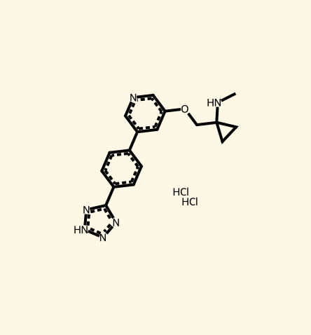 CNC1(COc2cncc(-c3ccc(-c4nn[nH]n4)cc3)c2)CC1.Cl.Cl